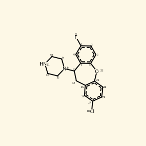 Fc1ccc2c(c1)C(N1CCNCC1)Cc1cc(Cl)ccc1O2